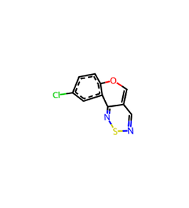 Clc1ccc2c(c1)C1=NSN=CC1=CO2